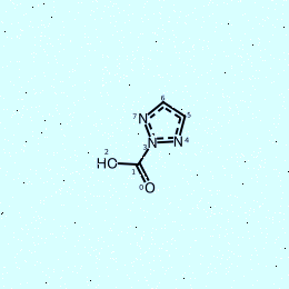 O=C(O)n1nccn1